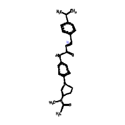 CC(=O)N(C)C1CCN(c2ccc(NC(=O)/C=C/c3ccc(C(C)C)cc3)cc2)C1